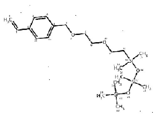 C=Cc1ccc(COCCOCC[Si](C)(C)O[Si](C)(C)O[Si](C)(C)C)cc1